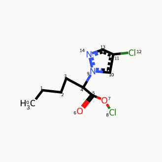 CCCCC(C(=O)OCl)n1cc(Cl)cn1